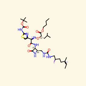 C/C=C(/C)CCC(I)CNC(=O)NC[C@H]1NC(=O)[C@H]1NC(=O)/C(=N\O[C@@H](CC(C)C)C(=O)OCCCC)c1csc(NC(=O)OC(C)(C)C)n1